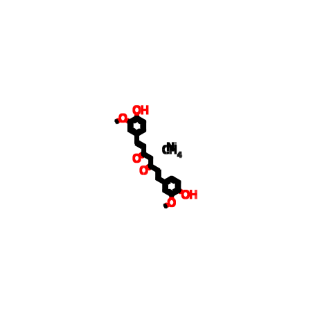 C.COc1cc(/C=C/C(=O)CC(=O)/C=C/c2ccc(O)c(OC)c2)ccc1O.[Ni]